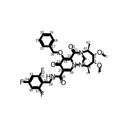 CO[C@@H]1[C@H](OC)[C@@H](C)N2CN(C(=O)c3c(OCc4ccccc4)c(=O)c(C(=O)NCc4c(F)cc(F)cc4F)cn32)[C@H]1C